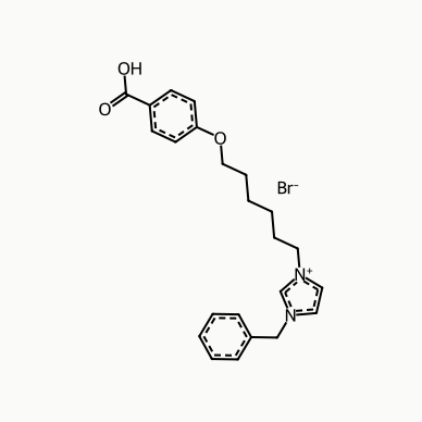 O=C(O)c1ccc(OCCCCCC[n+]2ccn(Cc3ccccc3)c2)cc1.[Br-]